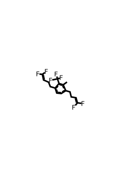 Cc1c(CCC=C(F)F)ccc(CCC=C(F)F)c1C(F)(F)F